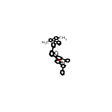 Cc1ccc2c(c1)C(c1ccccc1)(c1ccc(-c3cccc4c3oc3cc(-c5ccccc5-n5c6ccccc6c6cc(-c7ccccc7)ccc65)ccc34)cc1)c1cc(C)ccc1-2